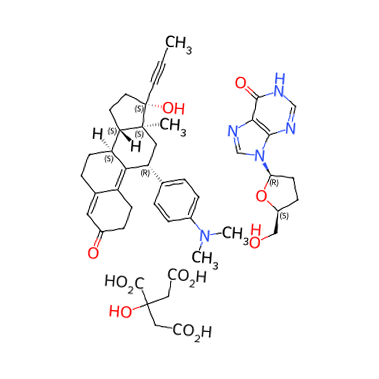 CC#C[C@]1(O)CC[C@H]2[C@@H]3CCC4=CC(=O)CCC4=C3[C@@H](c3ccc(N(C)C)cc3)C[C@@]21C.O=C(O)CC(O)(CC(=O)O)C(=O)O.O=c1[nH]cnc2c1ncn2[C@H]1CC[C@@H](CO)O1